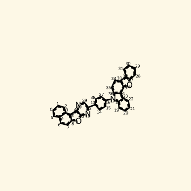 c1ccc2c(c1)ccc1oc3nc(-c4ccc(-n5c6ccccc6c6c7oc8ccccc8c7ccc65)cc4)cnc3c12